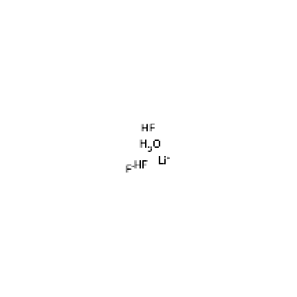 F.F.O.[F-].[Li+]